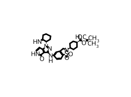 CC(C)(C)OC(=O)[C@H]1CC[C@@H](N2Cc3cc(Nc4nn([C@H]5CCCCC5=N)c5cc[nH]c(=O)c45)ccc3S2(=O)=O)CC1